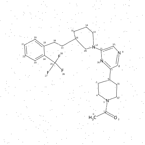 CC(=O)N1CCC(c2cncc(N3CCCC(CCc4ccccc4C(F)(F)F)C3)n2)CC1